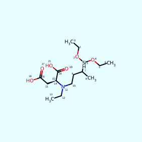 CCO[SiH](OCC)C(C)CCN(CC)[C@@H](CC(=O)O)C(=O)O